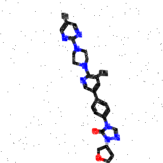 CCc1cnc(N2CCN(c3ncc(-c4ccc(-n5cnn([C@@H]6CCOC6)c5=O)cc4)cc3C#N)CC2)nc1